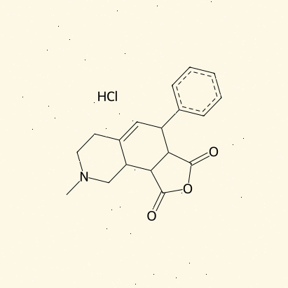 CN1CCC2=CC(c3ccccc3)C3C(=O)OC(=O)C3C2C1.Cl